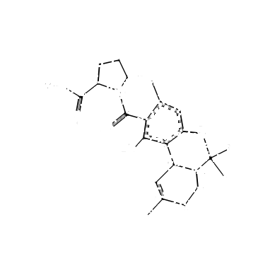 CCCCCc1cc2c(c(O)c1C(=O)N1CCCC1C(=O)OC)C1C=C(C)CCC1C(C)(C)O2